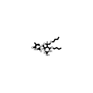 CCCCOC[C@@]1(C)O[C@@H](n2cc(C)c(=O)[nH]c2=O)[C@H]2NC(=N)NC(OCCCC)C21